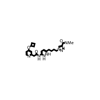 CNC(=O)c1cn(CCCCC2=CC=C(NC(=O)Cc3cc(OC4CCC4)ccn3)NN2)nn1